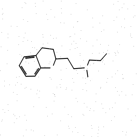 CN(CCC(=O)O)CCC1CCc2ccccc2O1.Cl